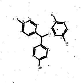 CCC(c1ccc(O)cc1)c1ccc(O)cc1.Oc1ccc(O)cc1